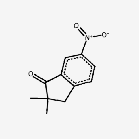 CC1(C)Cc2ccc([N+](=O)[O-])cc2C1=O